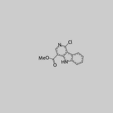 COC(=O)c1cnc(Cl)c2c1[nH]c1ccccc12